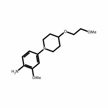 COCCOC1CCN(c2ccc(N)c(OC)c2)CC1